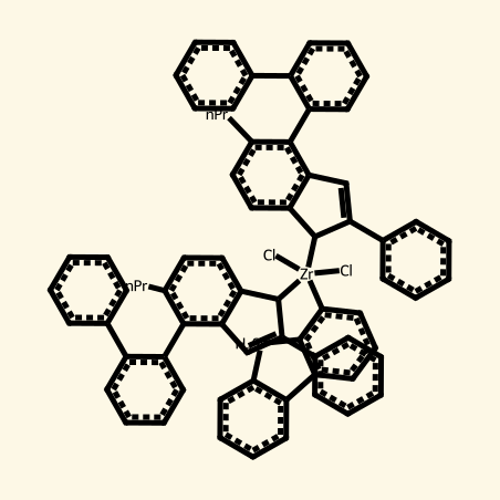 CCCc1ccc2c(c1-c1ccccc1-c1ccccc1)C=C(c1ccccc1)[CH]2[Zr]([Cl])([Cl])([c]1cccc2c1[SiH2]c1ccccc1-2)[CH]1C(c2ccccc2)=Cc2c1ccc(CCC)c2-c1ccccc1-c1ccccc1